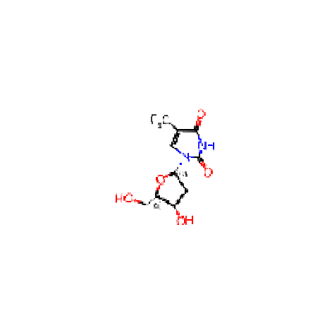 O=c1[nH]c(=O)n([C@@H]2CC(O)[C@H](CO)O2)cc1C(F)(F)F